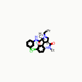 CCNC(=O)[C@@H]1CN(CC(C)C)[C@@](C)(C(=O)Nc2cccc(Cl)c2)C1c1cccc(Cl)c1F